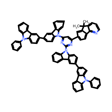 CC1(C)c2cc(-c3cc(-n4c5ccccc5c5cc(-c6ccc7c(c6)c6ccccc6n7-c6ccccc6)ccc54)nc(-n4c5ccccc5c5cc(-c6ccc7c(c6)c6ccccc6n7-c6ccccc6)ccc54)n3)ccc2-c2ncccc21